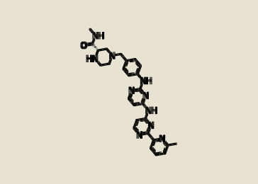 CNC(=O)[C@@H]1CN(Cc2ccc(Nc3nccc(Nc4ccnc(-c5cccc(C)n5)n4)n3)cc2)CCN1